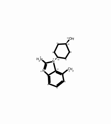 Cc1cccc2nc(N)n([C@H]3CC[C@H](O)CC3)c12